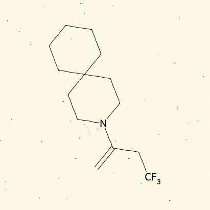 C=C(CC(F)(F)F)N1CCC2(CCCCC2)CC1